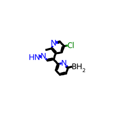 Bc1cccc(/C(=C/N=N)c2cc(Cl)cnc2C)n1